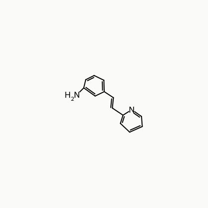 Nc1cccc(/C=C/c2ccccn2)c1